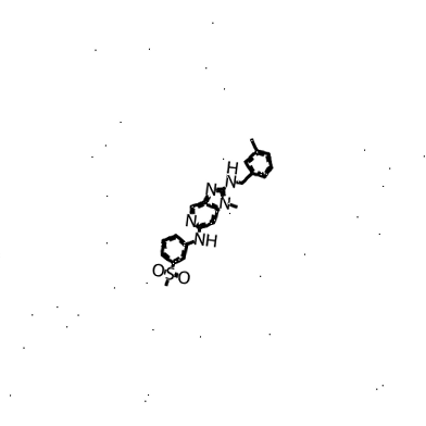 Cc1cccc(CNc2nc3cnc(Nc4cccc(S(C)(=O)=O)c4)cc3n2C)c1